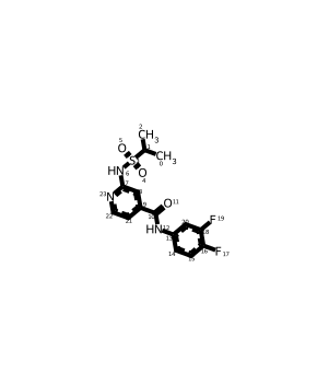 CC(C)S(=O)(=O)Nc1cc(C(=O)Nc2ccc(F)c(F)c2)ccn1